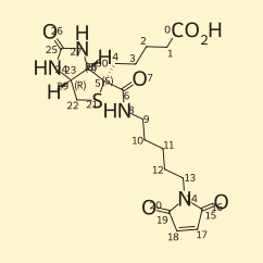 O=C(O)CCCC[C@]1(C(=O)NCCCCCN2C(=O)C=CC2=O)SC[C@@H]2NC(=O)N[C@@H]21